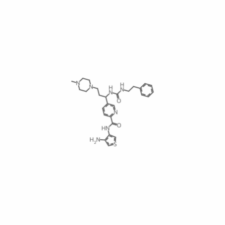 CN1CCN(CCC(NC(=O)NCCc2ccccc2)c2ccc(C(=O)Nc3cscc3N)nc2)CC1